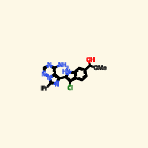 COC(O)c1ccc2c(Cl)c(-c3nc(C(C)C)n4ncnc(N)c34)[nH]c2c1